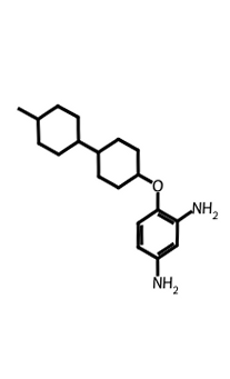 CC1CCC(C2CCC(Oc3ccc(N)cc3N)CC2)CC1